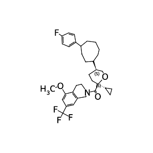 COc1cc(C(F)(F)F)cc2c1CCN(C(=O)[C@@]1(C3CC3)CC[C@@H](C3CCCCC(c4ccc(F)cc4)CC3)CO1)C2